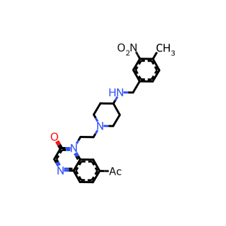 CC(=O)c1ccc2ncc(=O)n(CCN3CCC(NCc4ccc(C)c([N+](=O)[O-])c4)CC3)c2c1